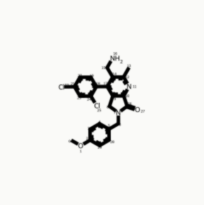 COc1ccc(CN2Cc3c(nc(C)c(CN)c3-c3ccc(Cl)cc3Cl)C2=O)cc1